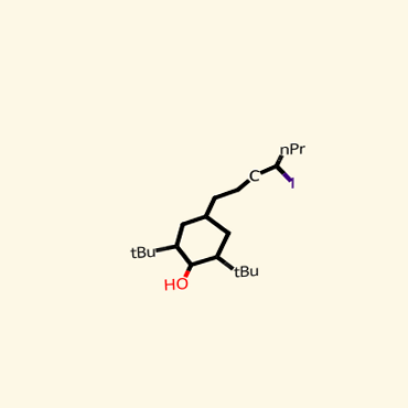 CCCC(I)CCCC1CC(C(C)(C)C)C(O)C(C(C)(C)C)C1